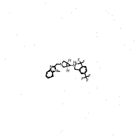 Cn1c(CN2C[C@@H]3[C@H](C2)[C@@H]3NCc2cc(C(F)(F)F)ccc2C(F)(F)F)nc2ccccc21